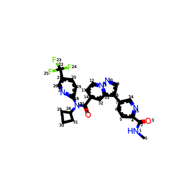 CNC(=O)c1ccc(-c2cnn3ccc(C(=O)N(c4ccc(C(F)(F)F)cn4)C4CCC4)cc23)cn1